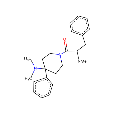 CNC(Cc1ccccc1)C(=O)N1CCC(c2ccccc2)(N(C)C)CC1